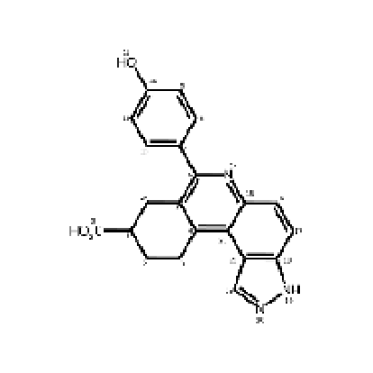 O=C(O)C1CCc2c(c(-c3ccc(O)cc3)nc3ccc4[nH]ncc4c23)C1